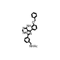 CC(=O)NCc1cccc(-c2nc(-c3cccc(OCc4ccccc4)c3)c3c(N)ncnn23)c1